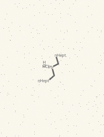 CCCCCCC[CH2][Pb][CH2]CCCCCCC.Cl.Cl